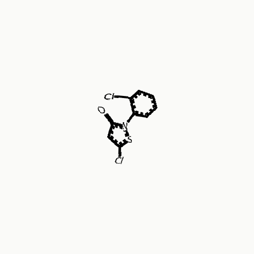 O=c1cc(Cl)sn1-c1ccccc1Cl